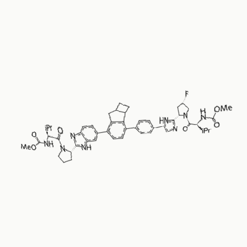 COC(=O)N[C@H](C(=O)N1C[C@@H](F)C[C@H]1c1ncc(-c2ccc(-c3ccc(-c4ccc5nc([C@@H]6CCCN6C(=O)[C@@H](NC(=O)OC)C(C)C)[nH]c5c4)c4c3C3CCC3C4)cc2)[nH]1)C(C)C